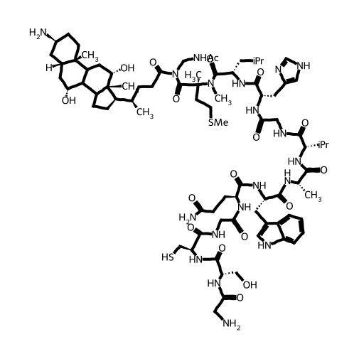 CSCC[C@@](C)(C(=O)N(CNC(C)=O)C(=O)CC[C@@H](C)[C@H]1CCC2C3C(C[C@H](O)[C@@]21C)[C@@]1(C)CC[C@H](N)C[C@H]1C[C@H]3O)N(C)C(=O)[C@H](CC(C)C)NC(=O)[C@H](Cc1c[nH]cn1)NC(=O)CNC(=O)[C@@H](NC(=O)[C@H](C)NC(=O)[C@H](Cc1c[nH]c2ccccc12)NC(=O)[C@H](CCC(N)=O)NC(=O)CNC(=O)[C@H](CS)NC(=O)[C@H](CO)NC(=O)CN)C(C)C